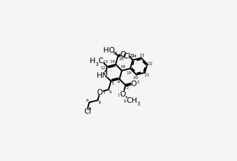 COC(=O)C1=C(COCCCl)NC(C)=C(C(=O)O)C1c1ccccc1Cl